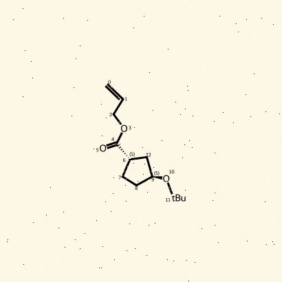 C=CCOC(=O)[C@H]1CC[C@H](OC(C)(C)C)C1